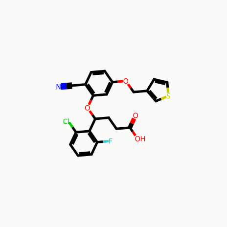 N#Cc1ccc(OCc2ccsc2)cc1OC(CCC(=O)O)c1c(F)cccc1Cl